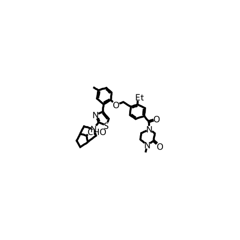 CCc1cc(C(=O)N2CCN(C)C(=O)C2)ccc1COc1ccc(C)cc1-c1csc(N2CC3CCC(C2)C3C=O)n1